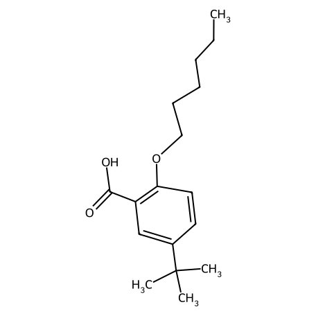 CCCCCCOc1ccc(C(C)(C)C)cc1C(=O)O